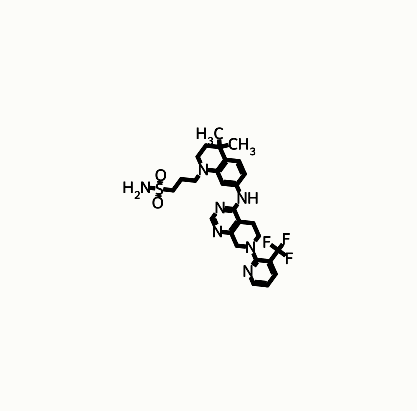 CC1(C)CCN(CCCS(N)(=O)=O)c2cc(Nc3ncnc4c3CCN(c3ncccc3C(F)(F)F)C4)ccc21